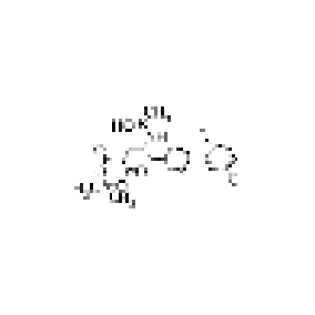 CB(O)N[C@H](Cc1ccc(-c2cc(Cl)ccc2F)cc1)CC1C(=O)OC(C)(C)OC1=O